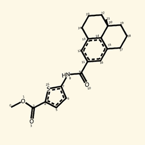 COC(=O)c1ccc(NC(=O)c2cc3c4c(c2)CCCC4(C)CCC3)s1